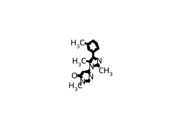 Cc1cccc(-c2nc(C)n(-c3cc(=O)n(C)cn3)c2C)c1